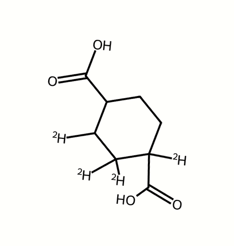 [2H]C1C(C(=O)O)CCC([2H])(C(=O)O)C1([2H])[2H]